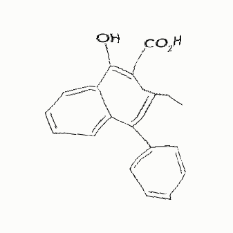 Cc1c(C(=O)O)c(O)c2ccccc2c1-c1ccccc1